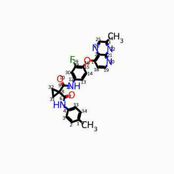 Cc1ccc(NC(=O)C2(C(=O)Nc3ccc(Oc4ccnc5nc(C)cnc45)c(F)c3)CC2)cc1